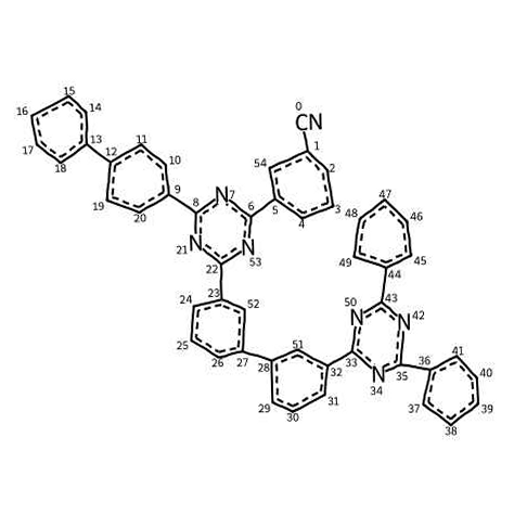 N#Cc1cccc(-c2nc(-c3ccc(-c4ccccc4)cc3)nc(-c3cccc(-c4cccc(-c5nc(-c6ccccc6)nc(-c6ccccc6)n5)c4)c3)n2)c1